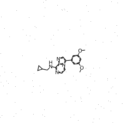 COc1cc(OC)cc(-c2cnc3c(NCC4CC4)nccn23)c1